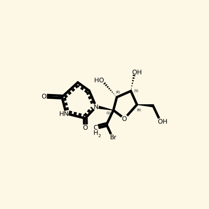 C=C(Br)[C@@]1(n2ccc(=O)[nH]c2=O)O[C@H](CO)[C@@H](O)[C@H]1O